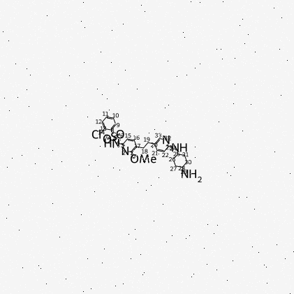 COc1nc(NS(=O)(=O)c2ccccc2Cl)ccc1CCc1ccc(NC2CCC(N)CC2)nc1